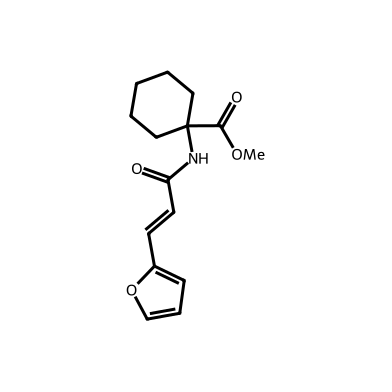 COC(=O)C1(NC(=O)/C=C/c2ccco2)CCCCC1